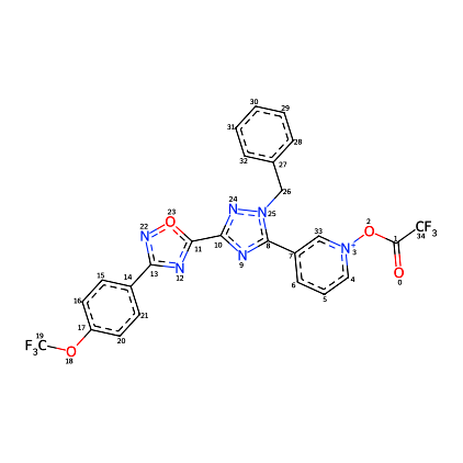 O=C(O[n+]1cccc(-c2nc(-c3nc(-c4ccc(OC(F)(F)F)cc4)no3)nn2Cc2ccccc2)c1)C(F)(F)F